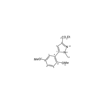 CCOC(=O)c1cc(-c2cc(OC)ccc2OC)n(C)n1